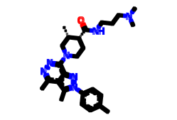 Cc1ccc(-n2nc3c(N4CC[C@@H](C(=O)NCCCN(C)C)[C@@H](C)C4)nnc(C)c3c2C)cc1